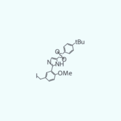 COc1ccc(CI)cc1-c1ncc(S(=O)(=O)c2ccc(C(C)(C)C)cc2)[nH]1